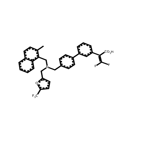 Cc1ccc2ccccc2c1CN(Cc1ccc(-c2cccc(C(C(=O)O)=C(F)F)c2)cc1)Cc1ccc(C(F)(F)F)o1